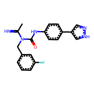 CC(=N)N(Cc1cccc(F)c1)C(=O)Nc1ccc(-c2cn[nH]c2)cc1